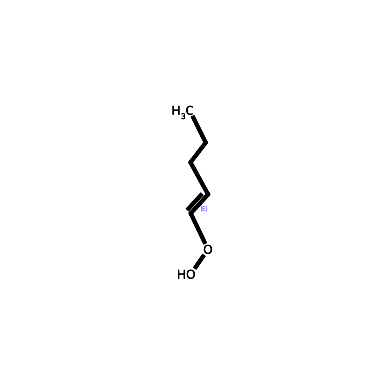 CCC/C=C/OO